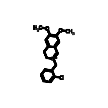 COc1cc2c(cc1OC)CC[N+](Cc1ccccc1Cl)=C2